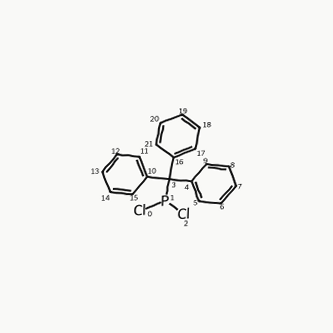 ClP(Cl)C(c1ccccc1)(c1ccccc1)c1ccccc1